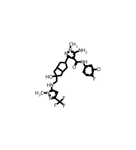 Cn1nc(C(F)(F)F)cc1NCC1(O)CC2CC(c3nn(C)c(N)c3C(=O)Nc3ccc(F)c(Cl)c3)CC2C1